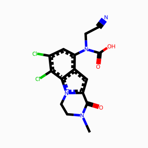 CN1CCn2c(cc3c(N(CC#N)C(=O)O)cc(Cl)c(Cl)c32)C1=O